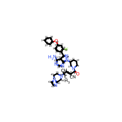 CC(C)(C=C(C#N)C(=O)N1CCCC(n2nc(-c3ccc(Oc4ccccc4)cc3F)c3c(N)ncnc32)C1)N1CCn2ccnc2C1